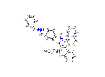 O=C(O)N1Cc2ccccc2C[C@@H]1CN(Cc1ccc(CNCc2ccncc2)cc1)[C@H]1CCCc2cccnc21